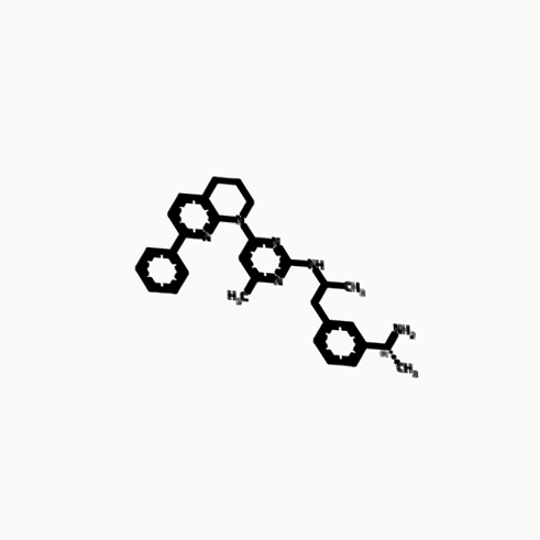 Cc1cc(N2CCCc3ccc(-c4ccccc4)nc32)nc(NC(C)Cc2cccc([C@@H](C)N)c2)n1